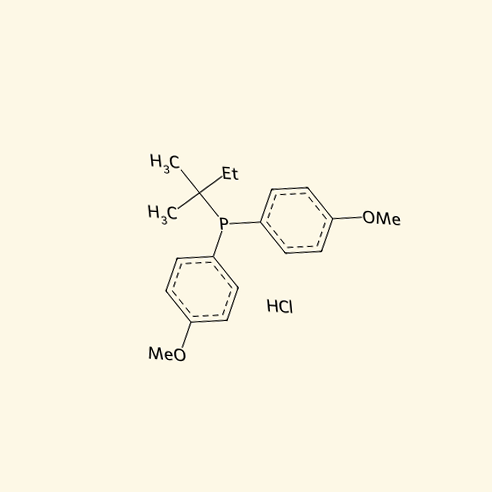 CCC(C)(C)P(c1ccc(OC)cc1)c1ccc(OC)cc1.Cl